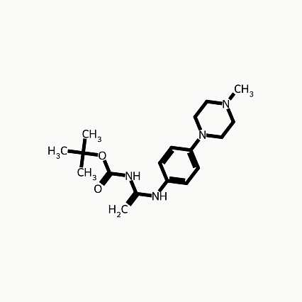 C=C(NC(=O)OC(C)(C)C)Nc1ccc(N2CCN(C)CC2)cc1